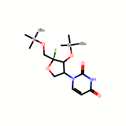 CC(C)(C)[Si](C)(C)OC[C@@]1(F)OCC(n2ccc(=O)[nH]c2=O)C1O[Si](C)(C)C(C)(C)C